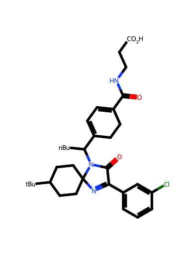 CCCCC(C1=CC=C(C(=O)NCCC(=O)O)CC1)N1C(=O)C(c2cccc(Cl)c2)=NC12CCC(C(C)(C)C)CC2